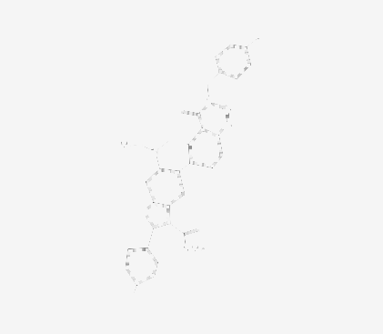 CNC(=O)c1c(-c2ccc(F)cc2)oc2cc(N(C)OC)c(-c3ccc4nnn(Cc5ccc(F)cc5)c(=O)c4c3)cc12